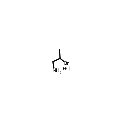 CC(Br)CN.Cl